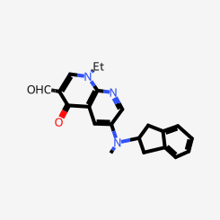 CCn1cc(C=O)c(=O)c2cc(N(C)C3Cc4ccccc4C3)cnc21